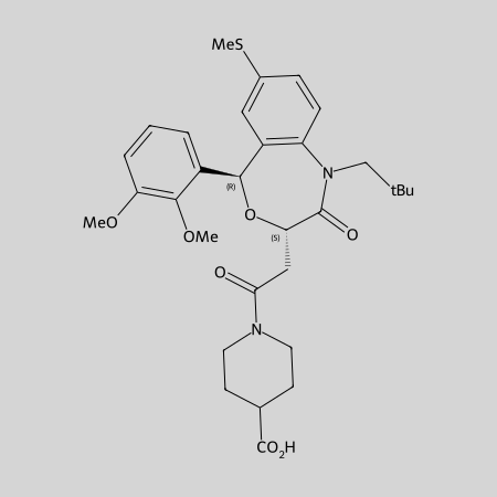 COc1cccc([C@@H]2O[C@@H](CC(=O)N3CCC(C(=O)O)CC3)C(=O)N(CC(C)(C)C)c3ccc(SC)cc32)c1OC